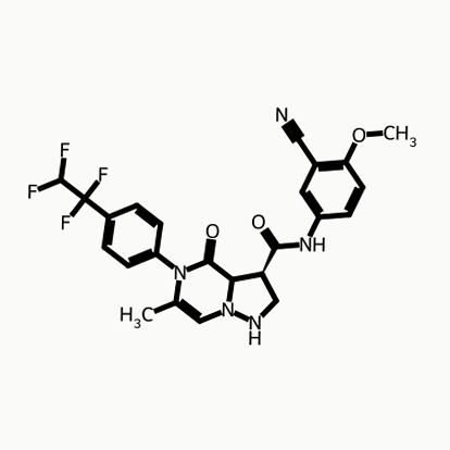 COc1ccc(NC(=O)[C@H]2CNN3C=C(C)N(c4ccc(C(F)(F)C(F)F)cc4)C(=O)C23)cc1C#N